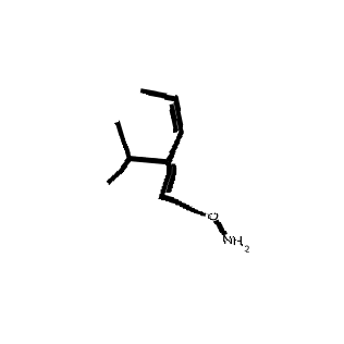 C/C=C\C(=C/ON)C(C)C